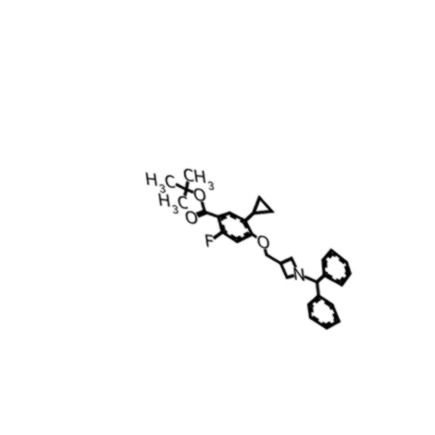 CC(C)(C)OC(=O)c1cc(C2CC2)c(OCC2CN(C(c3ccccc3)c3ccccc3)C2)cc1F